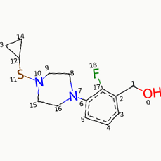 OCc1cccc(N2CCN(SC3CC3)CC2)c1F